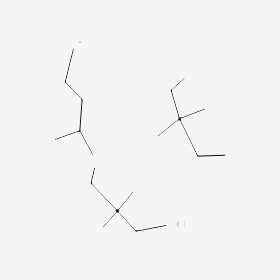 CC(C)(CO)CO.CC(C)(CO)COC(O)CCO